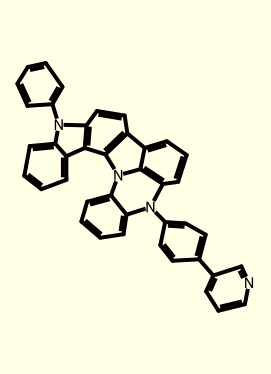 c1ccc(-n2c3ccccc3c3c2ccc2c4cccc5c4n(c23)-c2ccccc2N5c2ccc(-c3cccnc3)cc2)cc1